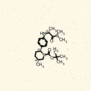 C[C@@H]1CC[C@@H](c2ccc(N[C@H](C)C(=O)N(C)C)cc2)N(C(=O)OC(C)(C)C)C1